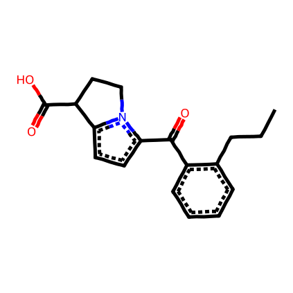 CCCc1ccccc1C(=O)c1ccc2n1CCC2C(=O)O